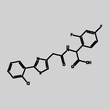 O=C(Cc1csc(-c2ccccc2Cl)n1)NC(C(=O)O)c1ccc(F)cc1F